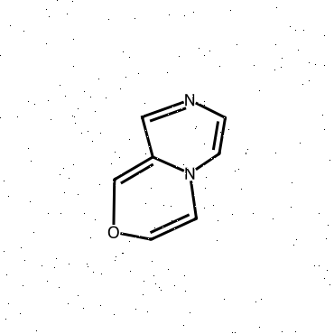 C1=CN2C=COC=C2C=N1